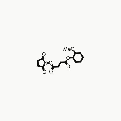 COC1CCCCC1OC(=O)CCC(=O)ON1C(=O)CCC1=O